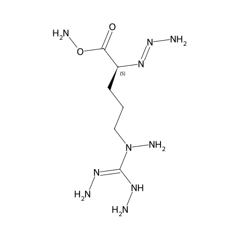 NN=N[C@@H](CCCN(N)C(=NN)NN)C(=O)ON